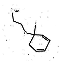 COCCOC1(F)C=CC=CC1